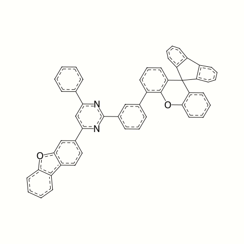 c1ccc(-c2cc(-c3ccc4c(c3)oc3ccccc34)nc(-c3cccc(-c4cccc5c4Oc4ccccc4C54c5ccccc5-c5ccccc54)c3)n2)cc1